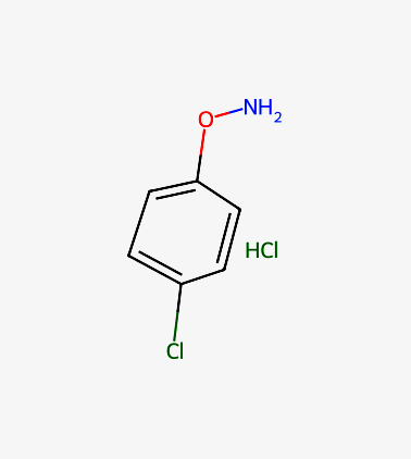 Cl.NOc1ccc(Cl)cc1